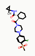 CS(=O)(=O)c1ccc(N2CCN(C(=O)[C@@H]3CCCC[C@H]3C(=O)NC3(C#N)CC3)CC2)cc1F